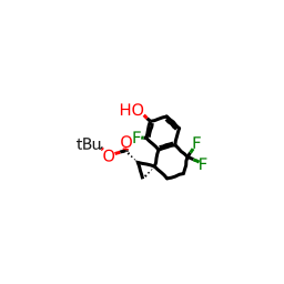 CC(C)(C)OC(=O)[C@H]1C[C@]12CCC(F)(F)c1ccc(O)c(F)c12